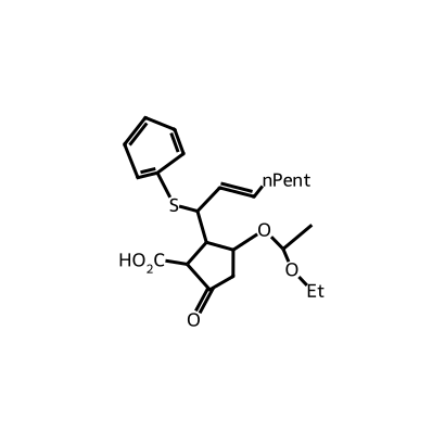 CCCCCC=CC(Sc1ccccc1)C1C(OC(C)OCC)CC(=O)C1C(=O)O